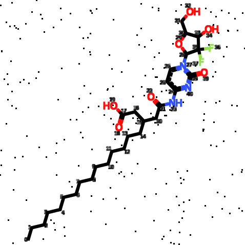 CCCCCCCCCCCCCCCC(CC(=O)O)CC(=O)Nc1ccn(C2OC(CO)C(O)C2(F)F)c(=O)n1